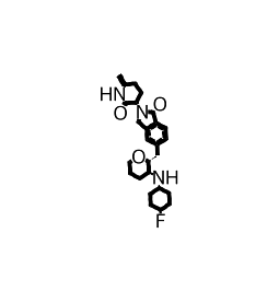 C=C1CCC(N2Cc3cc(C[C@H]4OCCC[C@@H]4N[C@H]4CC[C@H](F)CC4)ccc3C2=O)C(=O)N1